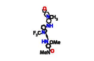 CNC(=O)c1ccc(NCC#Cc2cc3c(NC4CCC(C)(N5CCC6(CCOC6)CC5)CC4)cccc3n2CC(F)(F)F)c(OC)c1